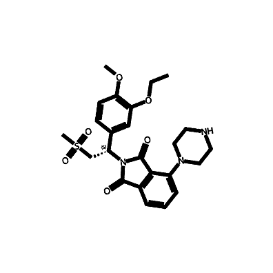 CCOc1cc([C@@H](CS(C)(=O)=O)N2C(=O)c3cccc(N4CCNCC4)c3C2=O)ccc1OC